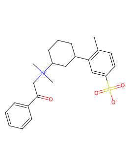 Cc1ccc(S(=O)(=O)[O-])cc1C1CCCC([N+](C)(C)CC(=O)c2ccccc2)C1